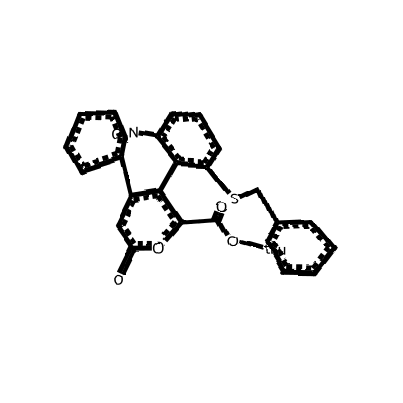 CC(C)(C)OC(=O)c1oc(=O)cc(-c2ccccc2)c1-c1c(SCc2ccccc2)cccc1[N+](=O)[O-]